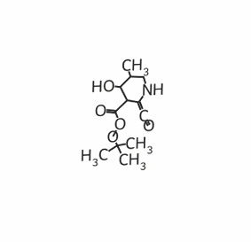 CC1CNC(=C=O)C(C(=O)OOC(C)(C)C)C1O